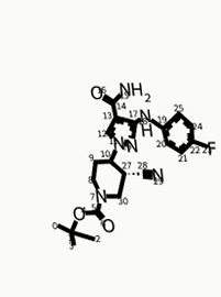 CC(C)(C)OC(=O)N1CCC(n2cc(C(N)=O)c(Nc3ccc(F)cc3)n2)[C@H](C#N)C1